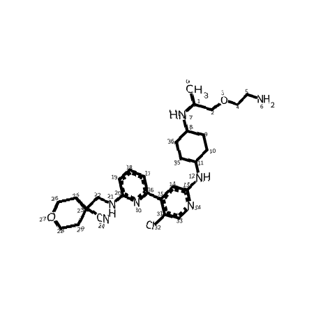 CC(COCCN)NC1CCC(Nc2cc(-c3cccc(NCC4(C#N)CCOCC4)n3)c(Cl)cn2)CC1